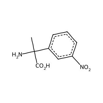 CC(N)(C(=O)O)c1cccc([N+](=O)[O-])c1